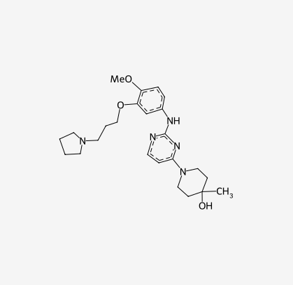 COc1ccc(Nc2nccc(N3CCC(C)(O)CC3)n2)cc1OCCCN1CCCC1